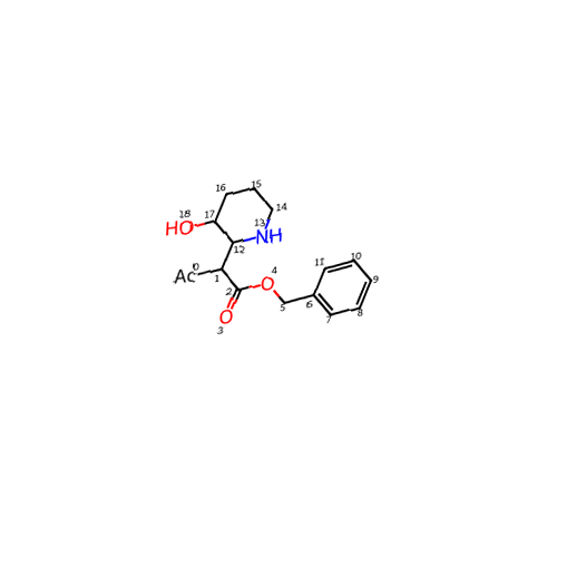 CC(=O)C(C(=O)OCc1ccccc1)C1NCCCC1O